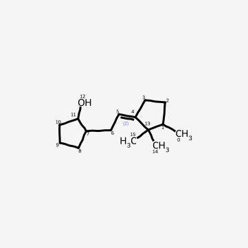 CC1CC/C(=C/CC2CCCC2O)C1(C)C